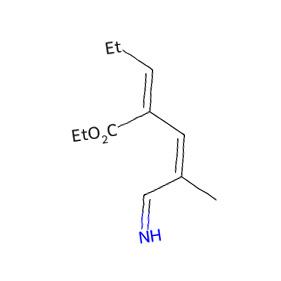 CC/C=C(/C=C(/C)C=N)C(=O)OCC